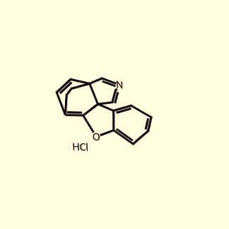 C1=CC23C(=C4C=CC2(C=N1)CC4)Oc1ccccc13.Cl